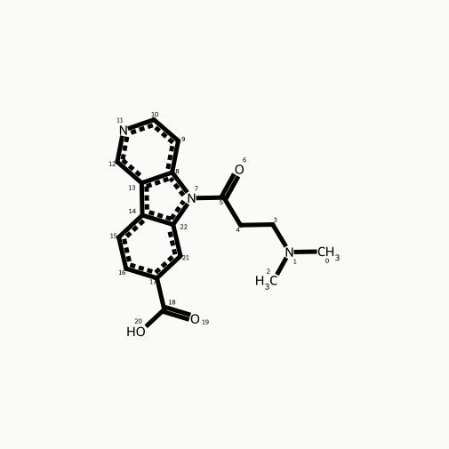 CN(C)CCC(=O)n1c2ccncc2c2ccc(C(=O)O)cc21